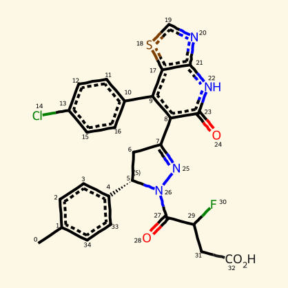 Cc1ccc([C@@H]2CC(c3c(-c4ccc(Cl)cc4)c4scnc4[nH]c3=O)=NN2C(=O)C(F)CC(=O)O)cc1